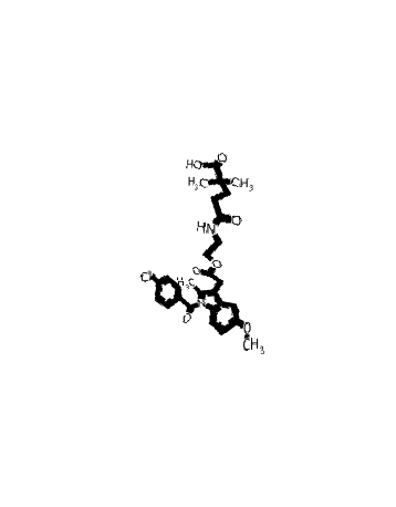 COc1ccc2c(c1)c(CC(=O)OCCNC(=O)CCC(C)(C)C(=O)O)c(C)n2C(=O)c1ccc(Cl)cc1